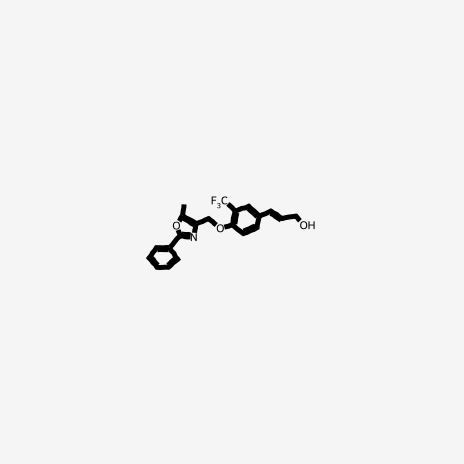 Cc1oc(-c2ccccc2)nc1COc1ccc(C=CCO)cc1C(F)(F)F